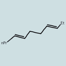 CCC=CCCC=CCCC